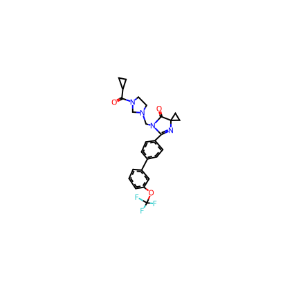 O=C(C1CC1)N1CCN(CN2C(=O)C3(CC3)N=C2c2ccc(-c3cccc(OC(F)(F)F)c3)cc2)C1